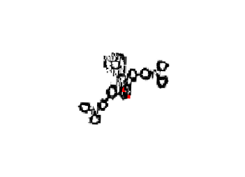 c1ccc(N(c2ccccc2)c2ccc(-c3ccc4c(c3)c3ccccc3n4-c3nc4c5nccnc5c5nccnc5c4nc3-n3c4ccccc4c4cc(-c5ccc(N(c6ccccc6)c6ccccc6)cc5)ccc43)cc2)cc1